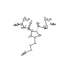 C#CCCCC1O[C@@H](C(=O)N[C@@H](CCCC)C(=O)O)[C@H](C(=O)N[C@@H](CCCC)C(=O)O)O1